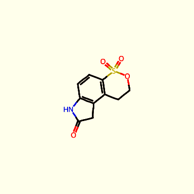 O=C1Cc2c(ccc3c2CCOS3(=O)=O)N1